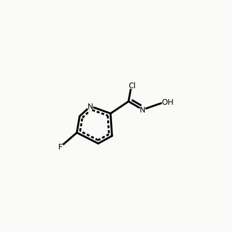 ON=C(Cl)c1ccc(F)cn1